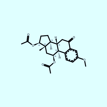 COc1ccc2c(c1)C(=O)C[C@@H]1[C@@H]2[C@@H](OC(C)=O)C[C@]2(C)[C@@H](OC(C)=O)CC[C@@H]12